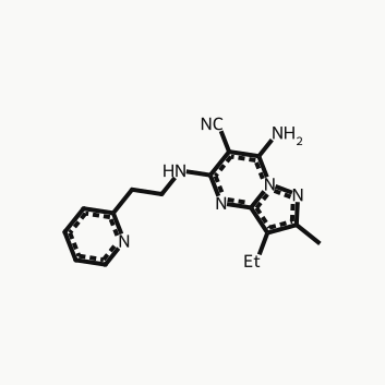 CCc1c(C)nn2c(N)c(C#N)c(NCCc3ccccn3)nc12